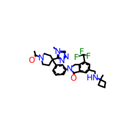 CC(=O)N1CCC(c2cccc(N3Cc4c(cc(CNC5(C)CCC5)cc4C(F)(F)F)C3=O)c2)(c2nncn2C)CC1